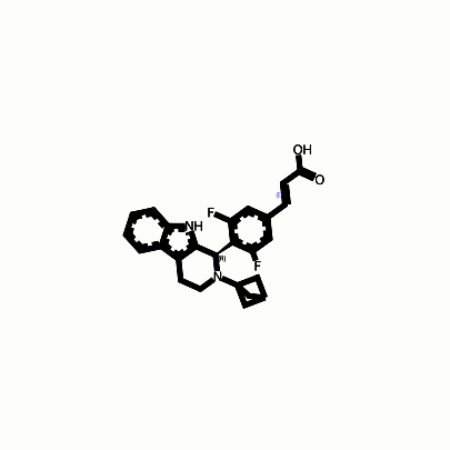 O=C(O)/C=C/c1cc(F)c([C@@H]2c3[nH]c4ccccc4c3CCN2C23CC(C2)C3)c(F)c1